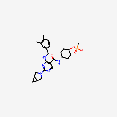 Cc1ccc(CNc2nc(N3CC4CC4C3)ncc2C(=O)N[C@H]2CC[C@H](OP(C)(=O)O)CC2)cc1C